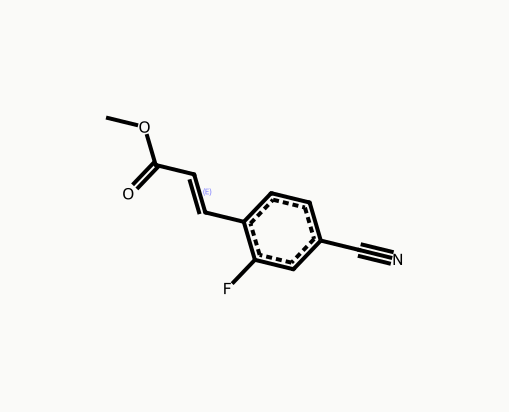 COC(=O)/C=C/c1ccc(C#N)cc1F